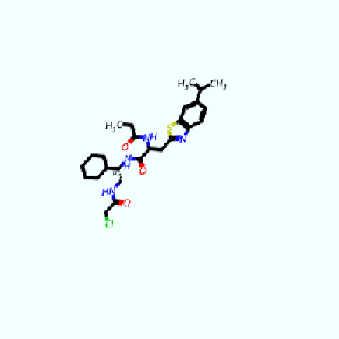 CCC(=O)NC(Cc1nc2ccc(C(C)C)cc2s1)C(=O)N[C@H](CNC(=O)CCl)C1CCCCC1